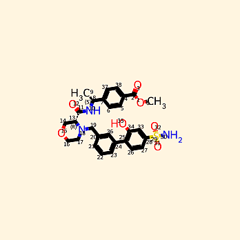 COC(=O)c1ccc([C@H](C)NC(=O)[C@H]2COCCN2Cc2cccc(-c3ccc(S(N)(=O)=O)cc3O)c2)cc1